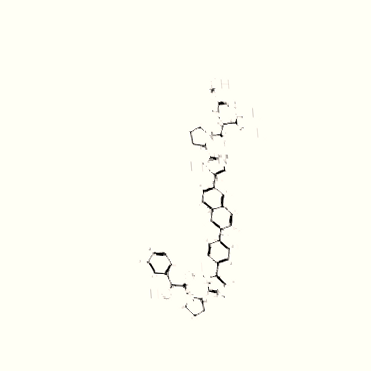 COC(=O)N[C@H](C(=O)N1CCC[C@H]1c1ncc(-c2ccc3cc(-c4ccc(-c5cnc([C@@H]6CCCN6C(=O)C(O)c6ccccc6)[nH]5)cc4)ccc3c2)[nH]1)C(C)C